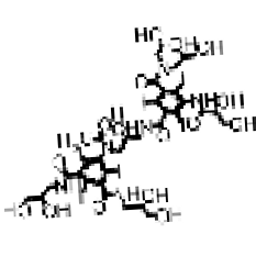 CC(=O)N(CC(O)CNC(=O)c1c(I)c(NC(=O)C(O)CO)c(I)c(C(=O)N(CCO)CC(O)CO)c1I)c1c(I)c(C(=O)NCC(O)CO)c(I)c(C(=O)NCC(O)CO)c1I